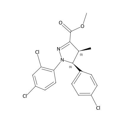 COC(=O)C1=NN(c2ccc(Cl)cc2Cl)[C@H](c2ccc(Cl)cc2)[C@@H]1C